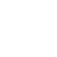 CCS(=O)(=O)c1ccc(CNC(=O)c2cncc(F)c2)cc1